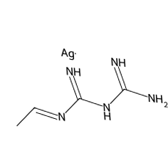 CC=NC(=N)NC(=N)N.[Ag]